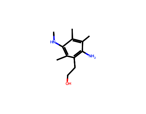 CNc1c(C)c(C)c(N)c(CCO)c1C